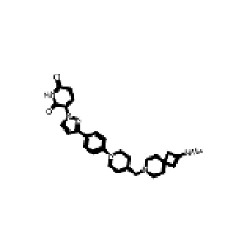 CNC1CC2(CCN(CC3CCN(c4ccc(-c5ccn(C6CCC(=O)NC6=O)n5)cc4)CC3)CC2)C1